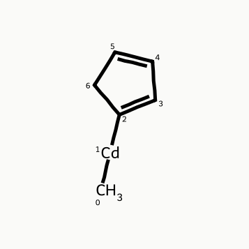 [CH3][Cd][C]1=CC=CC1